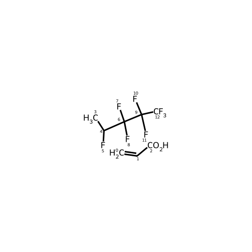 C=CC(=O)O.CC(F)C(F)(F)C(F)(F)C(F)(F)F